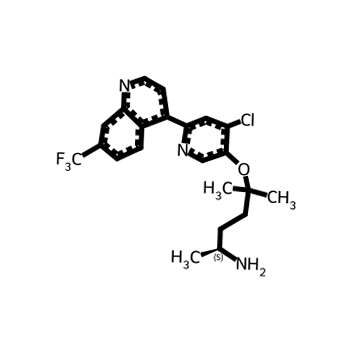 C[C@H](N)CCC(C)(C)Oc1cnc(-c2ccnc3cc(C(F)(F)F)ccc23)cc1Cl